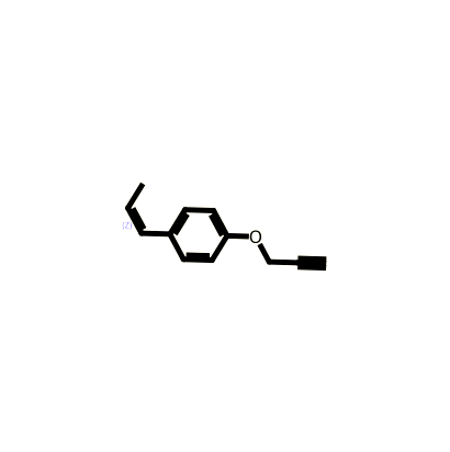 C#CCOc1ccc(/C=C\C)cc1